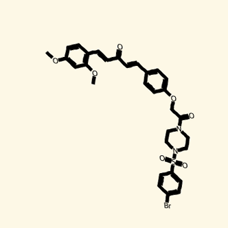 COc1ccc(C=CC(=O)C=Cc2ccc(OCC(=O)N3CCN(S(=O)(=O)c4ccc(Br)cc4)CC3)cc2)c(OC)c1